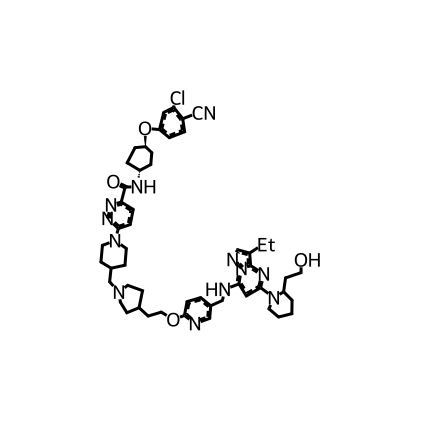 CCc1cnn2c(NCc3ccc(OCCC4CCN(CC5CCN(c6ccc(C(=O)N[C@H]7CC[C@H](Oc8ccc(C#N)c(Cl)c8)CC7)nn6)CC5)CC4)nc3)cc(N3CCCCC3CCO)nc12